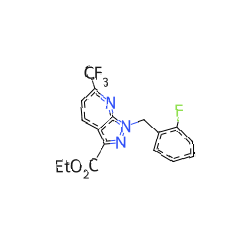 CCOC(=O)c1nn(Cc2ccccc2F)c2nc(C(F)(F)F)ccc12